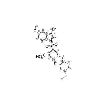 CCN1CCN(Cc2cc(S(=O)(=O)n3cc(Br)c4cc(OC)ccc43)ccc2Cl)CC1.Cl.Cl